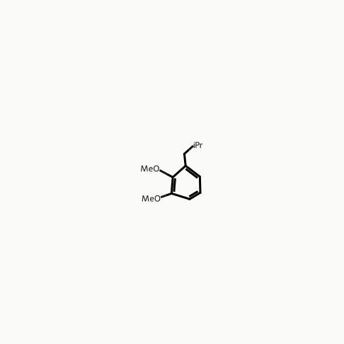 [CH2]C(C)Cc1cccc(OC)c1OC